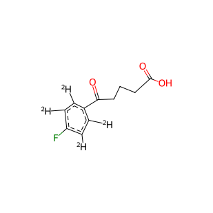 [2H]c1c([2H])c(C(=O)CCCC(=O)O)c([2H])c([2H])c1F